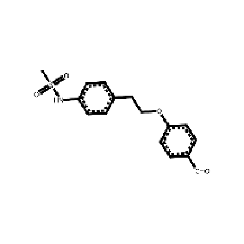 CS(=O)(=O)Nc1ccc(CCOc2ccc(C=O)cc2)cc1